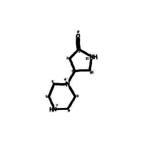 O=C1CC(N2CCNCC2)CN1